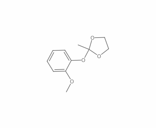 COc1ccccc1OC1(C)OCCO1